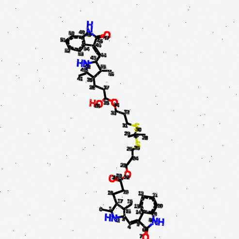 CC1NC(/C=C2/C(=O)Nc3ccccc32)C(C)C1CCC(=O)OCCCSC(C)(C)SCCCOC(O)CCC1C(C)NC(/C=C2/C(=O)Nc3ccccc32)C1C